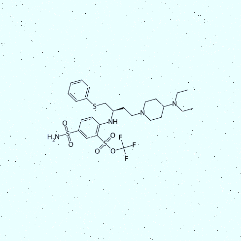 CCN(CC)C1CCN(CC[C@H](CSc2ccccc2)Nc2ccc(S(N)(=O)=O)cc2S(=O)(=O)OC(F)(F)F)CC1